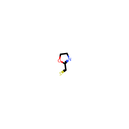 S=CC1=NCCO1